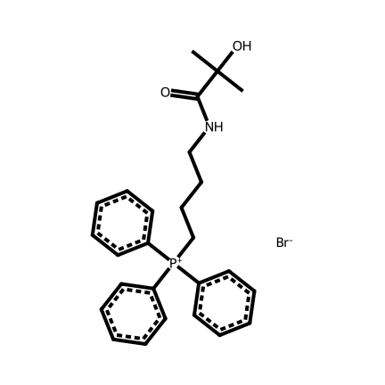 CC(C)(O)C(=O)NCCCC[P+](c1ccccc1)(c1ccccc1)c1ccccc1.[Br-]